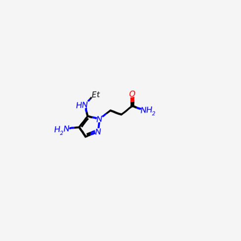 CCNc1c(N)cnn1CCC(N)=O